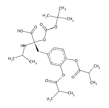 CC(C)N[C@@](Cc1ccc(OC(=O)C(C)C)c(OC(=O)C(C)C)c1)(OC(=O)OC(C)(C)C)C(=O)O